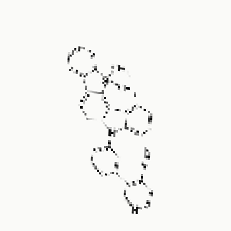 C[Si]1(C)c2ccccc2-c2ccc3c(c21)c1ccccc1n3-c1cccc(-c2cnccc2C#N)c1